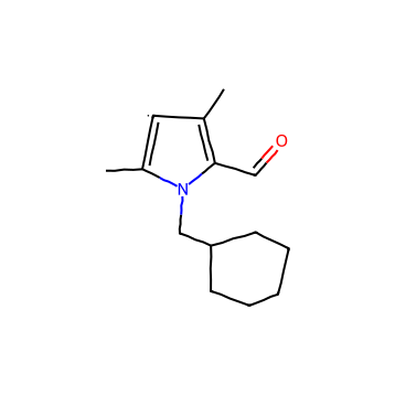 Cc1[c]c(C)n(CC2CCCCC2)c1C=O